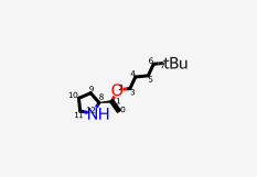 C=C(OCCCCC(C)(C)C)[C@@H]1CCCN1